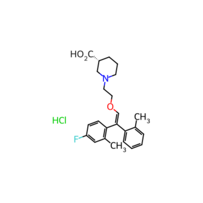 Cc1ccccc1C(=COCCN1CCC[C@@H](C(=O)O)C1)c1ccc(F)cc1C.Cl